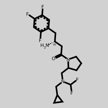 N[C@@H](CC(=O)N1CCCC1CN(CC1CC1)C(F)F)Cc1cc(F)c(F)cc1F